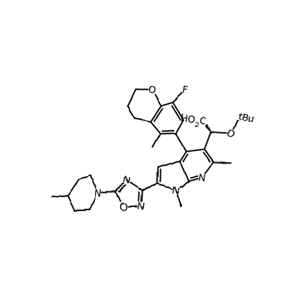 Cc1nc2c(cc(-c3noc(N4CCC(C)CC4)n3)n2C)c(-c2cc(F)c3c(c2C)CCCO3)c1[C@H](OC(C)(C)C)C(=O)O